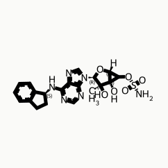 C[C@]1(O)[C@H](n2cnc3c(N[C@H]4CCc5ccccc54)ncnc32)O[C@@H]2C(OS(N)(=O)=O)[C@@]21O